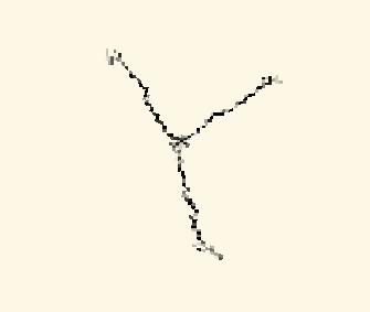 CCCCCCCCC#CCCCCCCCCOP(=O)(OCCCCCCCCC#CCCCCCCCC)OCCCCCCCCC#CCCCCCCCC